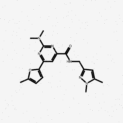 Cc1ccc(-c2cc(C(=O)NCc3cc(C)n(C)n3)nc(N(C)C)n2)o1